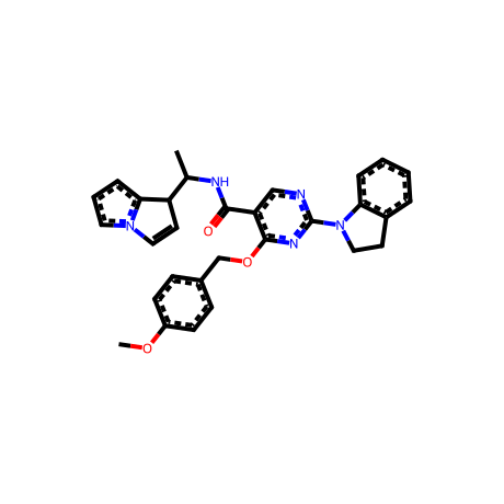 COc1ccc(COc2nc(N3CCc4ccccc43)ncc2C(=O)NC(C)C2C=Cn3cccc32)cc1